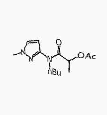 CCCCN(C(=O)C(C)OC(C)=O)c1ccn(C)n1